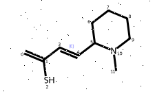 C=C(S)/C=C/C1CCCCN1C